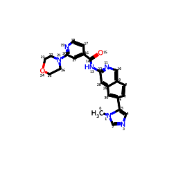 Cn1cncc1-c1ccc2cnc(NC(=O)c3ccnc(N4CCOCC4)c3)cc2c1